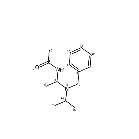 CC(=O)NC(C)N(Cc1ccccc1)C(C)C